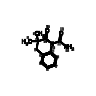 CC1(C)Cc2ccccc2N(C(N)=O)C1=O